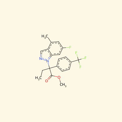 CCC(C(=O)OC)(c1ccc(C(F)(F)F)cc1)n1ncc2c(C)cc(F)cc21